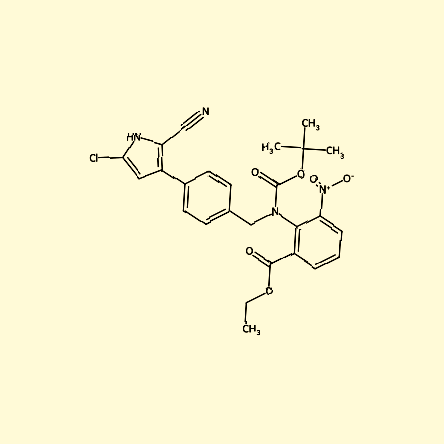 CCOC(=O)c1cccc([N+](=O)[O-])c1N(Cc1ccc(-c2cc(Cl)[nH]c2C#N)cc1)C(=O)OC(C)(C)C